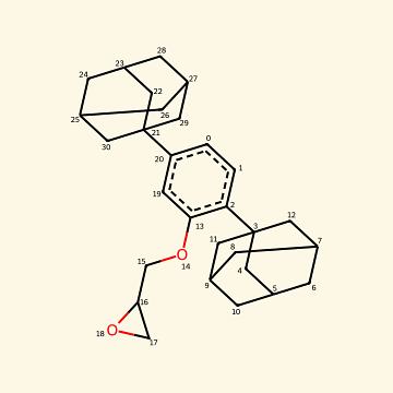 c1cc(C23CC4CC(CC(C4)C2)C3)c(OCC2CO2)cc1C12CC3CC(CC(C3)C1)C2